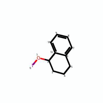 IOC1CCCc2ccccc21